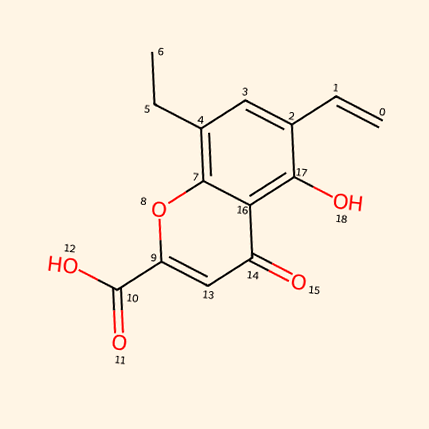 C=Cc1cc(CC)c2oc(C(=O)O)cc(=O)c2c1O